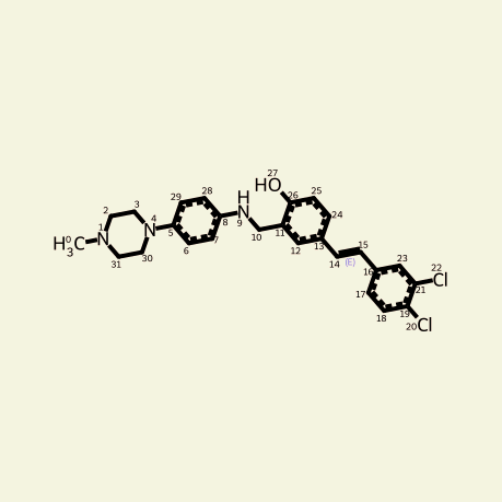 CN1CCN(c2ccc(NCc3cc(/C=C/c4ccc(Cl)c(Cl)c4)ccc3O)cc2)CC1